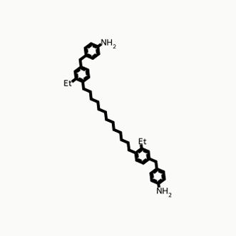 CCc1cc(Cc2ccc(N)cc2)ccc1CCCCCCCCCCCCCc1ccc(Cc2ccc(N)cc2)cc1CC